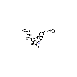 O=C(O)CNC(=O)c1ccc2c(c1)NC(=O)/C2=C/c1cc2cc(CCCN3CCCC3)ccc2[nH]1